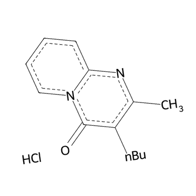 CCCCc1c(C)nc2ccccn2c1=O.Cl